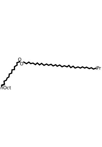 CCCCCCCCC=CCCCCCCCCCCCC(=O)OCCCCCCCCCCCCCCCCCCCCCCCCCCCCCCCCC(C)C